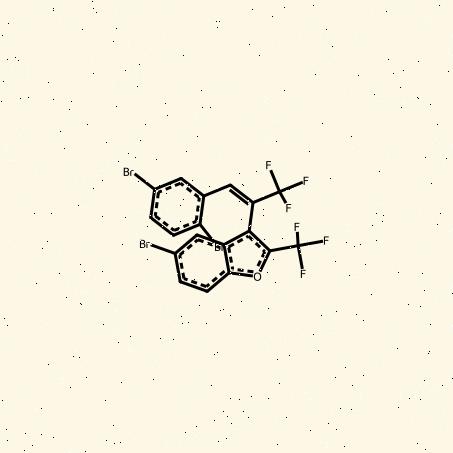 FC(F)(F)/C(=C/c1cc(Br)ccc1Br)c1c(C(F)(F)F)oc2ccc(Br)cc12